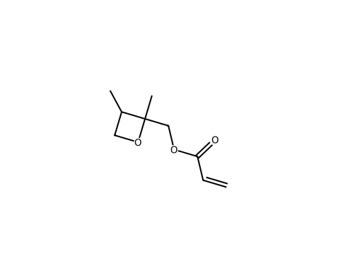 C=CC(=O)OCC1(C)OCC1C